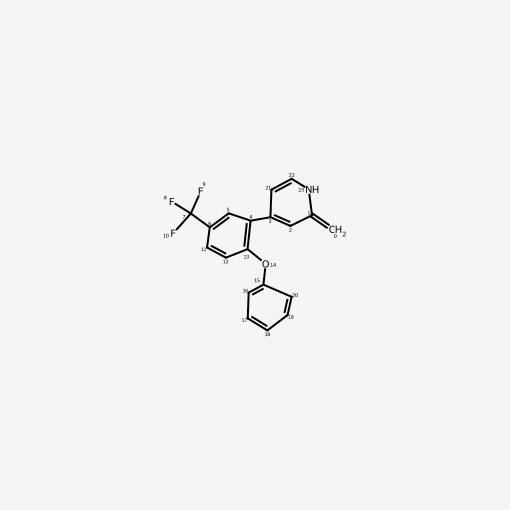 C=C1C=C(c2cc(C(F)(F)F)ccc2Oc2ccccc2)C=CN1